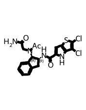 CC(=O)N(CC(N)=O)[C@@H]1c2ccccc2C[C@H]1NC(=O)c1cc2sc(Cl)c(Cl)c2[nH]1